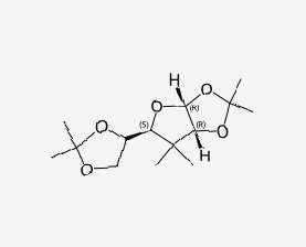 CC1(C)OCC([C@H]2O[C@@H]3OC(C)(C)O[C@@H]3C2(C)C)O1